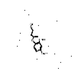 COc1ccc(OC(=O)CCCO)c(C=O)c1